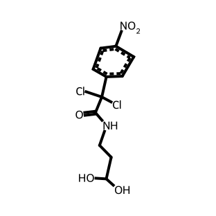 O=C(NCCC(O)O)C(Cl)(Cl)c1ccc([N+](=O)[O-])cc1